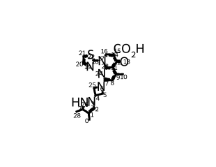 CC1=CN(C2CN(c3cc(C)c4c(=O)c(C(=O)O)cn(-c5nccs5)c4n3)C2)NC1C